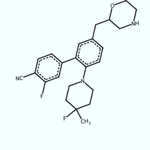 CC1(F)CCN(c2ccc(CC3CNCCO3)cc2-c2ccc(C#N)c(F)c2)CC1